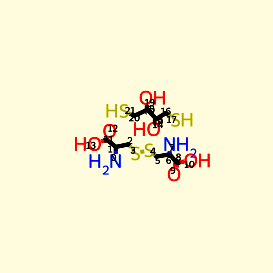 NC(CSSCC(N)C(=O)O)C(=O)O.O[C@H](CS)[C@H](O)CS